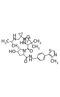 Cc1ncsc1-c1ccc(CNC(=O)C2CC(O)CN2C(=O)C(NC(=O)C2(CNC(C)C)CC2)C(C)(C)C)cc1